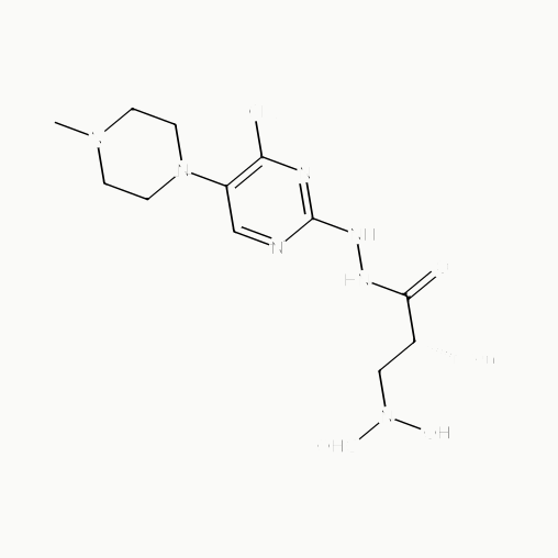 CCCCC[C@H](CN(O)C=O)C(=O)NNc1ncc(N2CCN(C)CC2)c(C(F)(F)F)n1